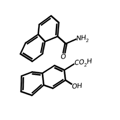 NC(=O)c1cccc2ccccc12.O=C(O)c1cc2ccccc2cc1O